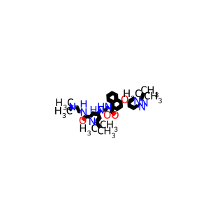 CN(C)CCNC(=O)c1cc(NC(=O)N[C@@]2(C=O)C=C[C@@H](Oc3ccc4nnc(C(C)(C)C)n4c3)c3ccccc32)cc(C(C)(C)C)n1